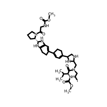 COC(=O)NCC(=O)N1CCC[C@H]1C1NC2=C(CCC(C3=CC=C(C4CNC(CN(CCI)C(=O)[C@@H](NC(=O)OC)C(C)C)N4)CC3)=C2)N1